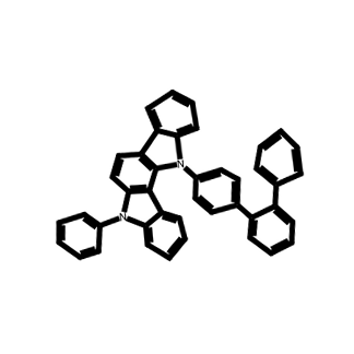 c1ccc(-c2ccccc2-c2ccc(-n3c4ccccc4c4ccc5c(c6ccccc6n5-c5ccccc5)c43)cc2)cc1